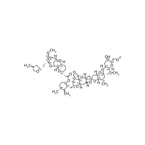 C=C1CO[C@@H](CC[C@]23C[C@@H](OC)C(O2)[C@H]2CC(O3)[C@H]3O[C@@H](CC(=O)O[C@@H]4[C@@H](C)[C@@H]5O[C@@H]6C[C@]7(C[C@@H]8O[C@]9(C[C@H](C)[C@@H]%10O[C@H](COI)[C@H](O)C[C@@H]%10O9)C[C@H](C)[C@@H]8O7)O[C@@H]6C[C@@H]5O[C@H]4C[C@H]4OCC[C@@H](C)C4=C)CC[C@@H]3O2)C1